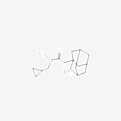 CCN(CC1CC1)C(=O)[C@@H](N)C12CC3CC(CC(C3)C1)C2